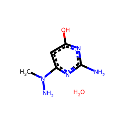 CN(N)c1cc(O)nc(N)n1.O